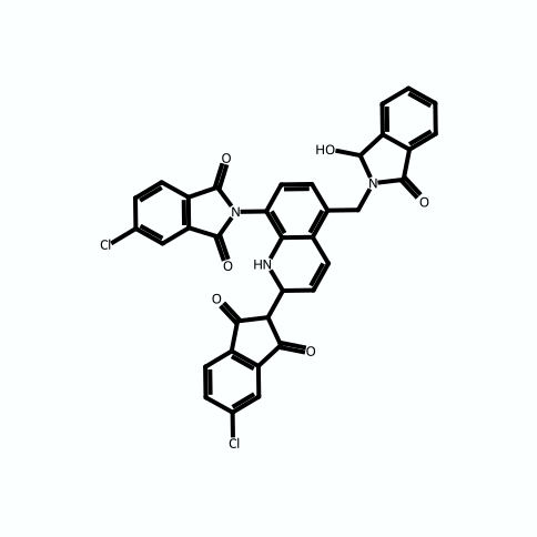 O=C1c2ccc(Cl)cc2C(=O)C1C1C=Cc2c(CN3C(=O)c4ccccc4C3O)ccc(N3C(=O)c4ccc(Cl)cc4C3=O)c2N1